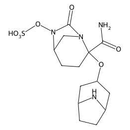 NC(=O)C1(OC2CC3CCC(C2)N3)CCC2CN1C(=O)N2OS(=O)(=O)O